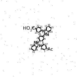 CC(=O)c1ccc(-n2c(-c3ccc(-c4nc5ccccc5n4-c4ccc(C(=O)O)cc4)cc3)nc3ccccc32)cc1